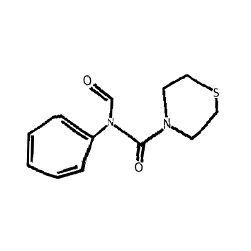 O=CN(C(=O)N1CCSCC1)c1ccccc1